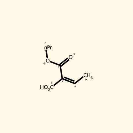 CC=C(C(=O)O)C(=O)OCCC